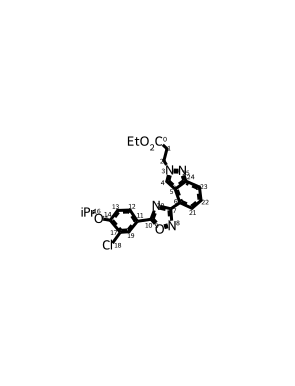 CCOC(=O)CCn1cc2c(-c3noc(-c4ccc(OC(C)C)c(Cl)c4)n3)cccc2n1